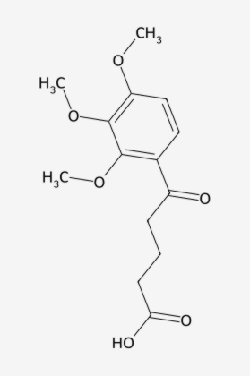 COc1ccc(C(=O)CCCC(=O)O)c(OC)c1OC